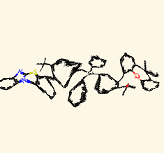 CC(C)(C)c1ccc([Si](c2ccccc2)(c2ccccc2)c2ccc(C(C)(C)C)c(-c3cccc4c3sc3nc5ccccc5n34)c2)cc1-c1cccc2c1Oc1ccccc1C2(C)C